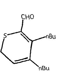 CCCCC1=CCSC(C=O)=C1CCCC